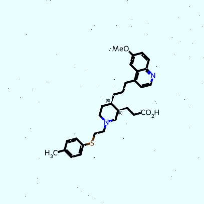 COc1ccc2nccc(CCC[C@@H]3CCN(CCSc4ccc(C)cc4)C[C@@H]3CCC(=O)O)c2c1